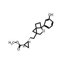 COC(=O)[C@@H]1C[C@H]1CCC12COC3(c4cccc(O)c4)CCC13C2